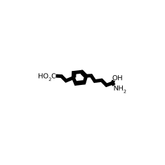 NC(O)CCCCc1ccc(CCC(=O)O)cc1